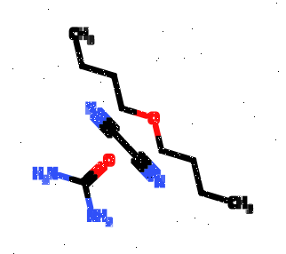 CCCCOCCCC.N#CC#N.NC(N)=O